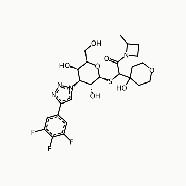 CC1CCN1C(=O)C(S[C@@H]1O[C@H](CO)[C@H](O)[C@H](n2cc(-c3cc(F)c(F)c(F)c3)nn2)[C@H]1O)C1(O)CCOCC1